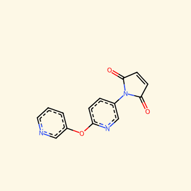 O=C1C=CC(=O)N1c1ccc(Oc2cccnc2)nc1